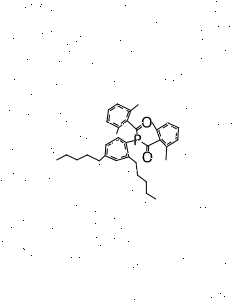 CCCCCc1ccc(P(C(=O)c2c(C)cccc2C)C(=O)c2c(C)cccc2C)c(CCCCC)c1